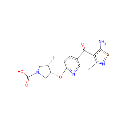 Cc1nsc(N)c1C(=O)c1ccc(O[C@@H]2CN(C(=O)O)C[C@@H]2F)nc1